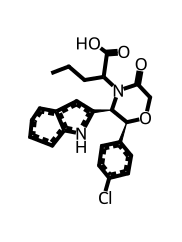 CCCC(C(=O)O)N1C(=O)CO[C@@H](c2ccc(Cl)cc2)[C@H]1c1cc2ccccc2[nH]1